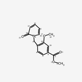 COC(=O)c1ccc(Cn2ccccc2=O)c(OC)c1